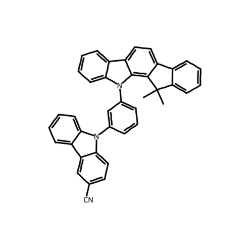 CC1(C)c2ccccc2-c2ccc3c4ccccc4n(-c4cccc(-n5c6ccccc6c6cc(C#N)ccc65)c4)c3c21